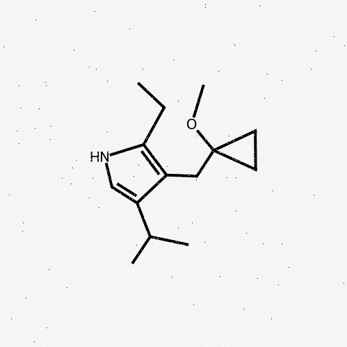 CCc1[nH]cc(C(C)C)c1CC1(OC)CC1